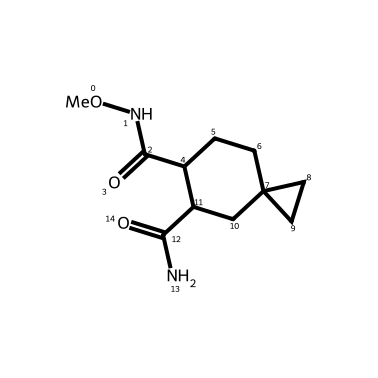 CONC(=O)C1CCC2(CC2)CC1C(N)=O